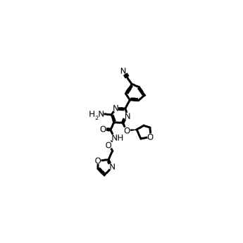 N#Cc1cccc(-c2nc(N)c(C(=O)NOCc3ncco3)c(O[C@H]3CCOC3)n2)c1